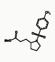 COC(=O)CCC1CCCN1S(=O)(=O)c1ccc(C)cc1